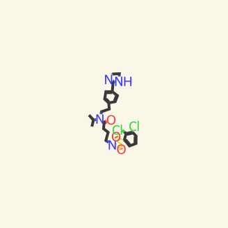 CC(C)N(CCc1ccc(C2=NCCN2)cc1)C(=O)CCCN(C)S(=O)(=O)c1cccc(Cl)c1Cl